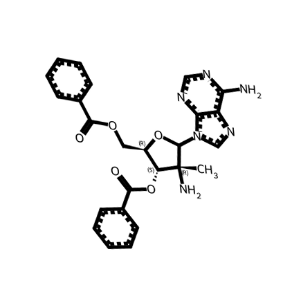 C[C@]1(N)C(n2cnc3c(N)ncnc32)O[C@H](COC(=O)c2ccccc2)[C@H]1OC(=O)c1ccccc1